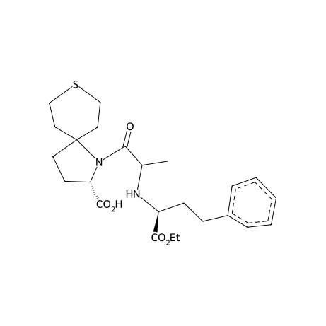 CCOC(=O)[C@H](CCc1ccccc1)NC(C)C(=O)N1[C@H](C(=O)O)CCC12CCSCC2